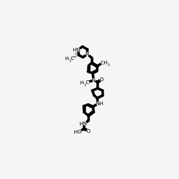 Cc1cc(N(C)C(=O)C2CCC(Nc3cccc(CNC(=O)O)c3)CC2)ccc1CN1CCN[C@@H](C)C1